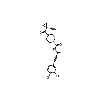 CC(C#Cc1ccc(Cl)c(Cl)c1)NC(=O)N1CCN(C(=O)C2(C#N)CC2)CC1